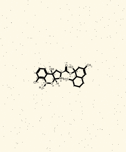 CC1=CC2CCCC(C)C2C(O)(OC(=O)[C@@H]2C[C@@]3(O)c4cccc(Cl)c4N(C)O[C@H]3N2)C1